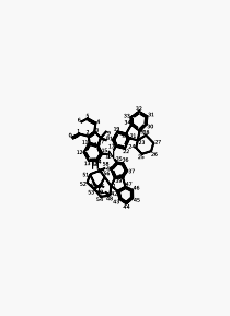 C=CC1=C(/C=C\C)C(C)(C)c2c1cccc2N(c1ccc2c(c1)C1(CCCCC1)c1ccccc1-2)c1ccc2c(c1)C1(c3ccccc3-2)C2CCC3CC(C2)CC1[C@H]3C